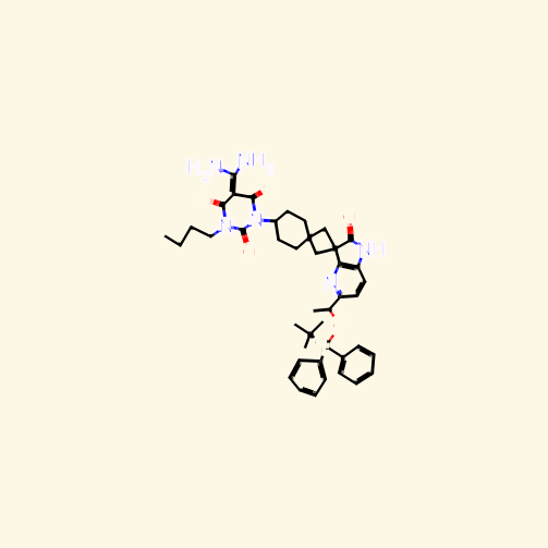 CCCCN1C(=O)C(=C(N)N)C(=O)N(C2CCC3(CC2)CC2(C3)C(=O)Nc3ccc(C(C)O[Si](c4ccccc4)(c4ccccc4)C(C)(C)C)nc32)C1=O